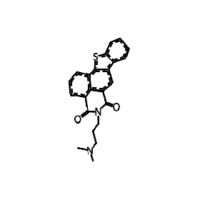 CN(C)CCCN1C(=O)c2cccc3c2c(cc2c4ccccc4sc32)C1=O